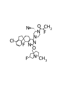 C=C(F)C(=O)N1CCN(c2nc(OCC34CCC(C)N3C[C@@H](F)C4)nc3c2CC[C@@]2(CCc4c(Cl)cccc42)[C@H]3F)C[C@@H]1CC#N